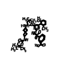 Cc1cccc(C)c1-c1cc(OC[C@@H](CC(C)(C)C)NC2CC3(CC(NC(=O)OC(C)(C)C)C3)C2)nc(NS(=O)(=O)c2cccc(C(=O)O)c2)n1